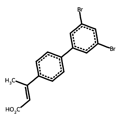 CC(=CC(=O)O)c1ccc(-c2cc(Br)cc(Br)c2)cc1